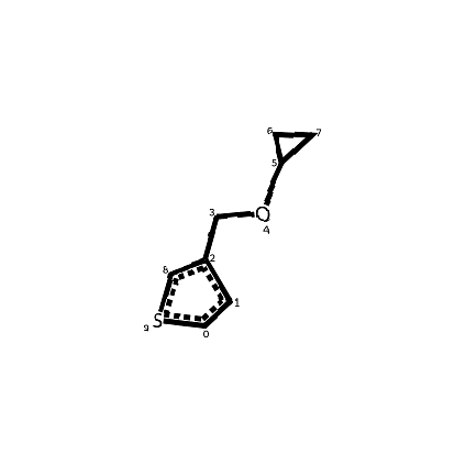 c1cc(COC2CC2)cs1